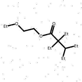 CCOCCOC(=O)C(CC)(CC)C(CC)CC